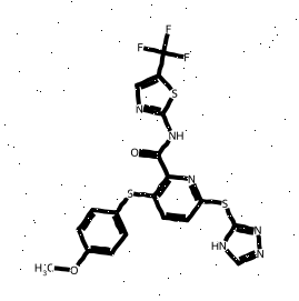 COc1ccc(Sc2ccc(Sc3nnc[nH]3)nc2C(=O)Nc2ncc(C(F)(F)F)s2)cc1